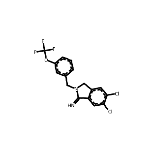 N=C1c2cc(Cl)c(Cl)cc2CN1Cc1cccc(OC(F)(F)F)c1